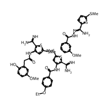 CCOc1ccc(C(=O)Nc2cc(SC)sc2C(=N)N)cc1.COc1ccc(O)c(CC(=O)Nc2cc(SC)sc2C(=N)N)c1.COc1cccc(C(=O)NN=C(N)c2ccc(SC)s2)c1